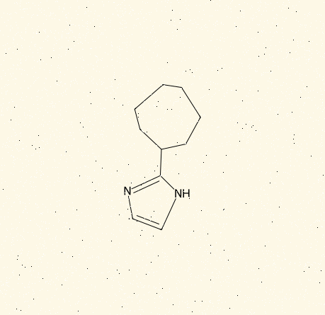 [c]1c[nH]c(C2CCCCCC2)n1